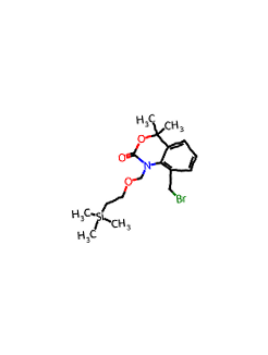 CC1(C)OC(=O)N(COCC[Si](C)(C)C)c2c(CBr)cccc21